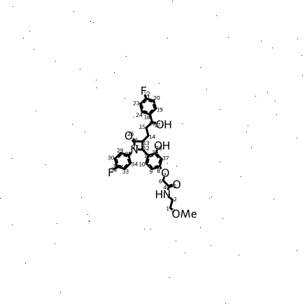 COCCNC(=O)COc1ccc(C2C(CCC(O)c3ccc(F)cc3)C(=O)N2c2ccc(F)cc2)c(O)c1